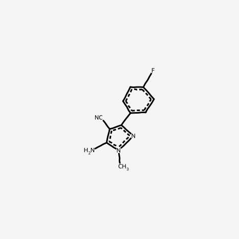 Cn1nc(-c2ccc(F)cc2)c(C#N)c1N